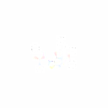 COc1ccc(Cn2c(-c3ccccc3OC(F)(F)F)nc3sc(C4CCCN4C(=O)OCc4ccccc4)nc3c2=O)c(OC)c1